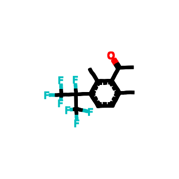 CC(=O)c1c(C)ccc(C(F)(C(F)(F)F)C(F)(F)F)c1C